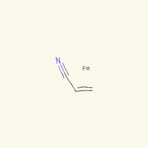 C=CC#N.[Fe]